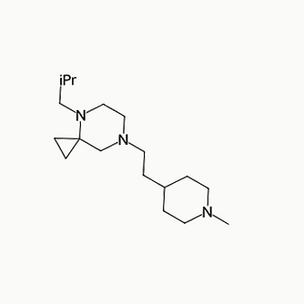 CC(C)CN1CCN(CCC2CCN(C)CC2)CC12CC2